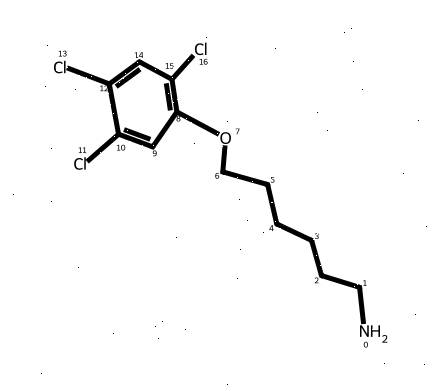 NCCCCCCOc1cc(Cl)c(Cl)cc1Cl